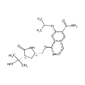 CC(C)Oc1cc2c(OC[C@@H]3C[C@H](C(C)(C)O)C(=O)N3)nccc2cc1C(N)=O